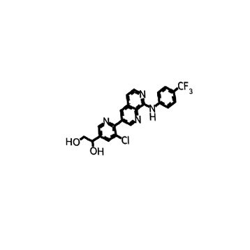 OCC(O)c1cnc(-c2cnc3c(Nc4ccc(C(F)(F)F)cc4)nccc3c2)c(Cl)c1